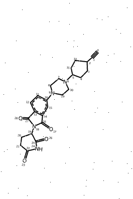 C#CC1CCC(N2CCN(c3ccc4c(c3)C(=O)N(C3CCC(=O)NC3=O)C4=O)CC2)CC1